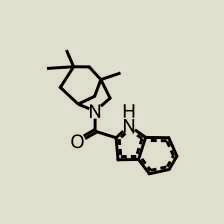 CC1(C)CC2CC(C)(CN2C(=O)c2cc3ccccc3[nH]2)C1